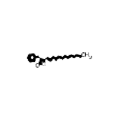 CCCCCCCCCCC[CH]C[C@H]1OC(=O)[C@@H]1Cc1ccccc1